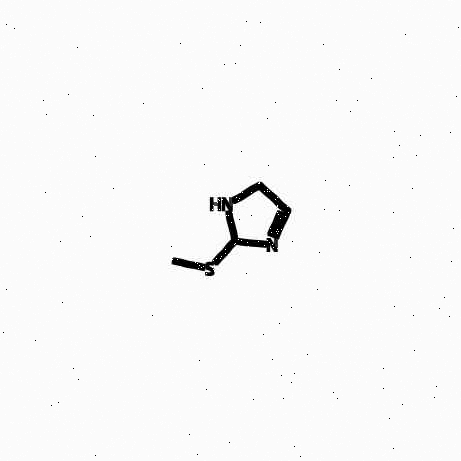 CSC1N=CCN1